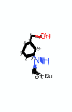 CC(C)(C)CNc1cccc(CO)c1